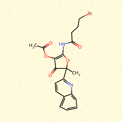 CC(=O)OC1=C(NC(=O)CCCBr)OC(C)(c2ccc3ccccc3n2)C1=O